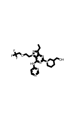 CCc1nn(CCOCC(F)(F)F)c2c(Nc3ccncn3)nc(N3CCCC(CO)C3)nc12